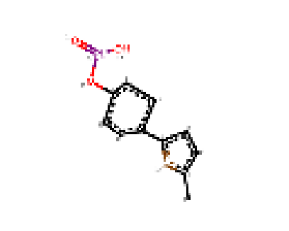 Cc1ccc(-c2ccc(O[PH](=O)O)cc2)s1